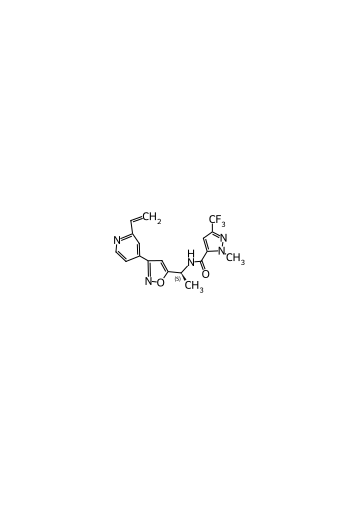 C=Cc1cc(-c2cc([C@H](C)NC(=O)c3cc(C(F)(F)F)nn3C)on2)ccn1